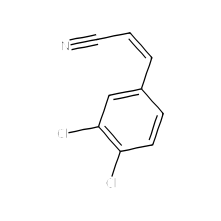 N#C/C=C\c1ccc(Cl)c(Cl)c1